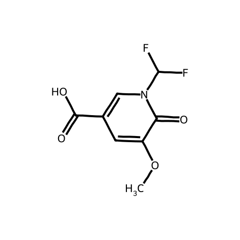 COc1cc(C(=O)O)cn(C(F)F)c1=O